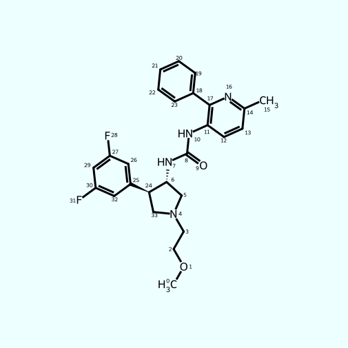 COCCN1C[C@@H](NC(=O)Nc2ccc(C)nc2-c2ccccc2)[C@H](c2cc(F)cc(F)c2)C1